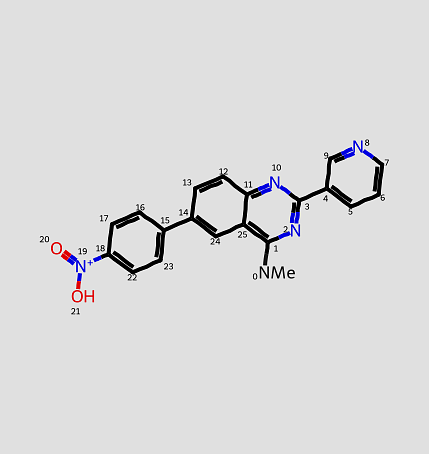 CNc1nc(-c2cccnc2)nc2ccc(-c3ccc([N+](=O)O)cc3)cc12